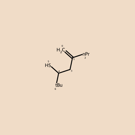 C=C(CCC)CC(S)C(C)(C)C